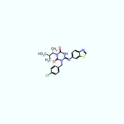 C[C@@H](C(=O)O)[C@H](C)n1c(=O)[nH]/c(=N\c2ccc3ncsc3c2)n(Cc2ccc(Cl)cc2)c1=O